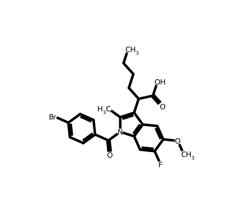 CCCCC(C(=O)O)c1c(C)n(C(=O)c2ccc(Br)cc2)c2cc(F)c(OC)cc12